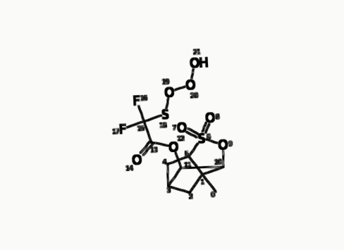 CC12CC3CC1S(=O)(=O)OC2C3OC(=O)C(F)(F)SOOO